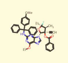 C#C[C@]1(OC(=O)c2ccccc2)[C@H](n2cnc3c(OCC)nc(NC(c4ccccc4)(c4ccccc4)c4ccc(OC)cc4)nc32)O[C@](F)(CC)[C@H]1C